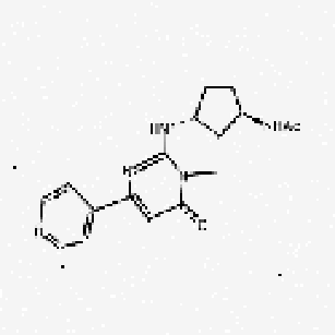 CC(=O)N[C@@H]1CC[C@@H](Nc2nc(-c3ccncc3)cc(=O)n2C)C1